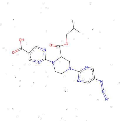 CC(C)COC(=O)C1CN(c2ncc(N=[N+]=[N-])cn2)CCN1c1ncc(C(=O)O)cn1